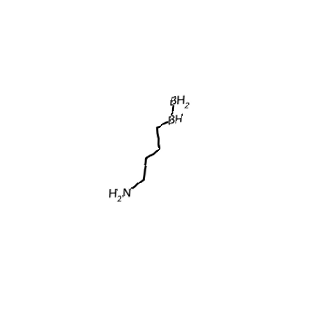 BBCCCCN